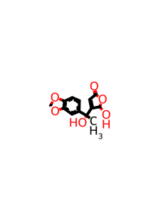 CC(O)(C1=CC(=O)OC1O)c1ccc2c(c1)OCO2